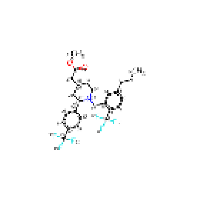 CCCc1ccc(C(F)(F)F)c(CN2CC[C@H](CC(=O)OC)C[C@@H]2c2ccc(C(F)(F)F)cc2)c1